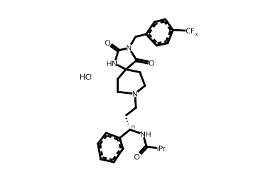 CC(C)C(=O)N[C@@H](CCN1CCC2(CC1)NC(=O)N(Cc1ccc(C(F)(F)F)cc1)C2=O)c1ccccc1.Cl